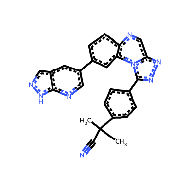 CC(C)(C#N)c1ccc(-c2nnc3cnc4ccc(-c5cnc6[nH]ncc6c5)cc4n23)cc1